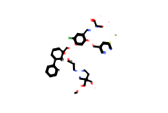 CCOC(=O)C1(CO)CCN(CCCOC2(COc3cc(OCc4cncc(S(C)(=O)=O)c4)c(CNC(CO)C(=O)O)cc3Cl)C=CC=C(c3ccccc3)C2(C)C)C1